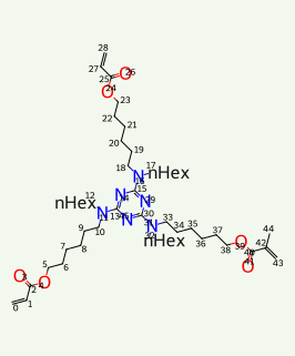 C=CC(=O)OCCCCCCN(CCCCCC)c1nc(N(CCCCCC)CCCCCCOC(=O)C=C)nc(N(CCCCCC)CCCCCCOC(=O)C(=C)C)n1